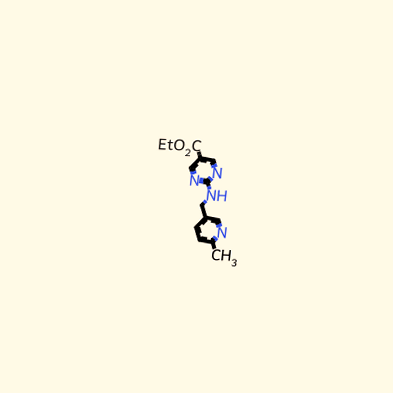 CCOC(=O)c1cnc(NCc2ccc(C)nc2)nc1